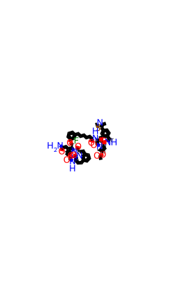 CC(=O)O[C@@H]1C[C@@H](C(=O)N[C@@H](C)c2ccc(-c3scnc3C)cc2)N(C(=O)[C@@H](NC(=O)CCCCCc2cccc(OC[C@H](CCC(N)=O)NC(=O)[C@@H]3Cc4cccc5c4N3C(=O)[C@@H](NC(=O)OC(C)(C)C)CC5)c2F)C(C)(C)C)C1